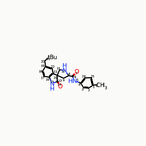 Cc1ccc(NC(=O)C2CC3(CN2)C(=O)Nc2ccc(CC(C)(C)C)cc23)cc1